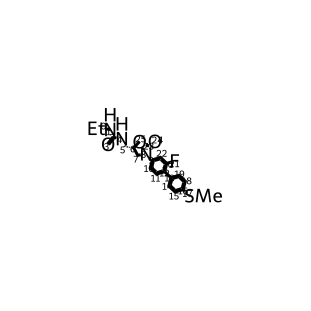 CCNC(=O)NC[C@H]1CN(c2ccc(-c3ccc(SC)cc3)c(F)c2)C(=O)O1